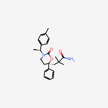 Cc1ccc([C@H](C)N2CC[C@](CC(C)(C)C(N)=O)(c3ccccc3)OC2=O)cc1